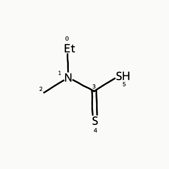 CCN(C)C(=S)S